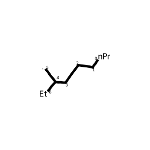 [CH2]CCCCCC([CH2])CC